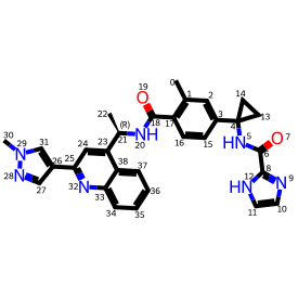 Cc1cc(C2(NC(=O)c3ncc[nH]3)CC2)ccc1C(=O)N[C@H](C)c1cc(-c2cnn(C)c2)nc2ccccc12